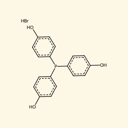 Br.Oc1ccc(P(c2ccc(O)cc2)c2ccc(O)cc2)cc1